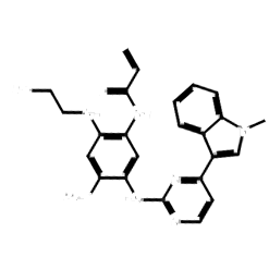 C=CC(=O)Nc1cc(Nc2nccc(-c3cn(C)c4ccccc34)n2)c(OC)cc1NCCO